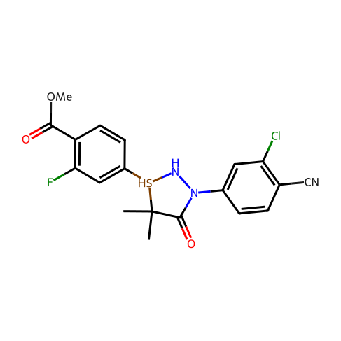 COC(=O)c1ccc([SH]2NN(c3ccc(C#N)c(Cl)c3)C(=O)C2(C)C)cc1F